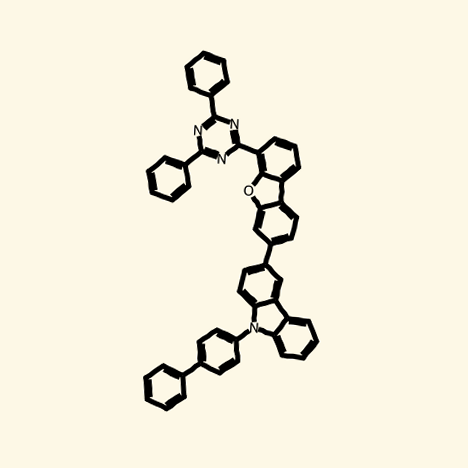 c1ccc(-c2ccc(-n3c4ccccc4c4cc(-c5ccc6c(c5)oc5c(-c7nc(-c8ccccc8)nc(-c8ccccc8)n7)cccc56)ccc43)cc2)cc1